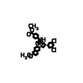 CCOC(=O)c1ccc(NC(=O)N2C[C@H](c3cc(Cl)cc(Cl)c3)C[C@@H]2c2ccc3cc(OC)ccc3c2)cc1